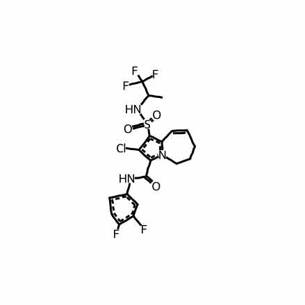 CC(NS(=O)(=O)c1c(Cl)c(C(=O)Nc2ccc(F)c(F)c2)n2c1C=CCCC2)C(F)(F)F